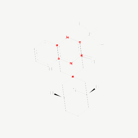 O=c1c(P(=O)(O)O)nc2ccccc2n1[C@H]1C[C@H]2CCC[C@@H](C1)N2[C@H]1C[C@@H]2CCC[C@@H](C2)C1